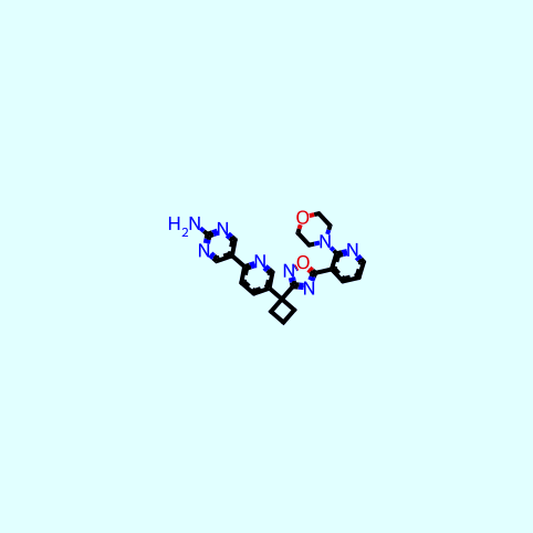 Nc1ncc(-c2ccc(C3(c4noc(-c5cccnc5N5CCOCC5)n4)CCC3)cn2)cn1